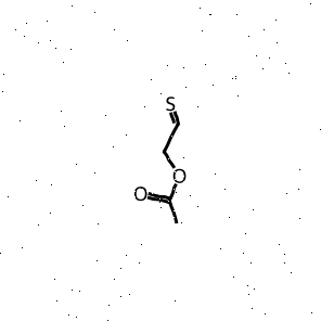 CC(=O)OCC=S